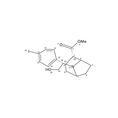 COC(=O)[C@@H]1C2CCC(C[C@@H]1c1ccc(I)cc1)N2CCO